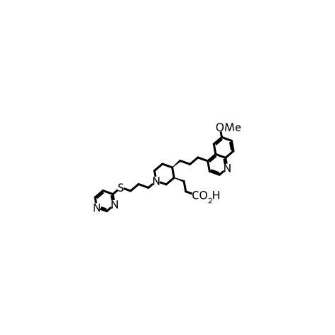 COc1ccc2nccc(CCC[C@@H]3CCN(CCCSc4ccncn4)C[C@@H]3CCC(=O)O)c2c1